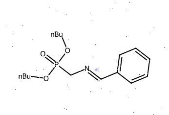 CCCCOP(=O)(C/N=C/c1ccccc1)OCCCC